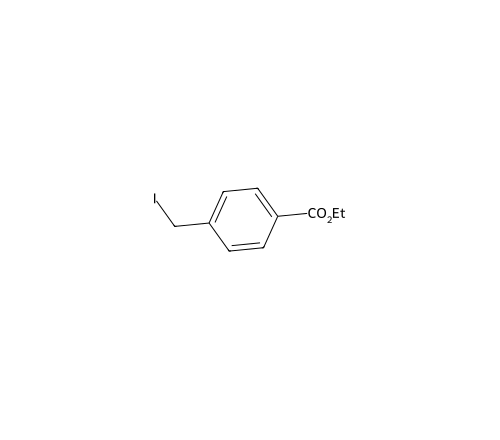 CCOC(=O)c1ccc(CI)cc1